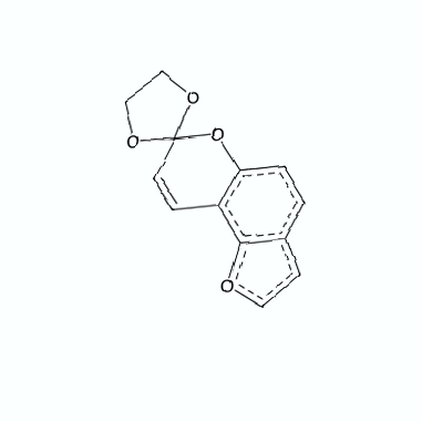 C1=CC2(OCCO2)Oc2ccc3ccoc3c21